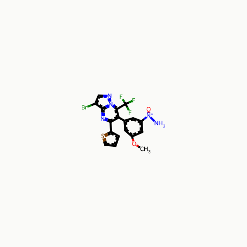 COc1cc(-c2c(-c3cccs3)nc3c(Br)cnn3c2C(F)(F)F)cc([N+](N)=O)c1